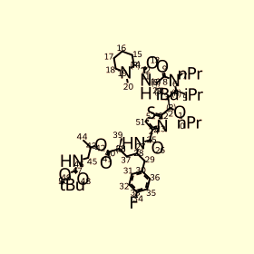 CCCO[C@H](C[C@H](C(C)C)N(CCC)C(=O)[C@@H](NC(=O)[C@H]1CCCCN1C)[C@@H](C)CC)c1nc(C(=O)NC(Cc2ccc(F)cc2)C[C@H](C)C(=O)OC(C)CNC(=O)OC(C)(C)C)cs1